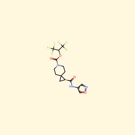 O=C(Nc1cnoc1)[C@H]1CC12CCN(C(=O)OC(C(F)(F)F)C(F)(F)F)CC2